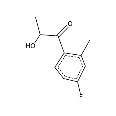 Cc1cc(F)ccc1C(=O)C(C)O